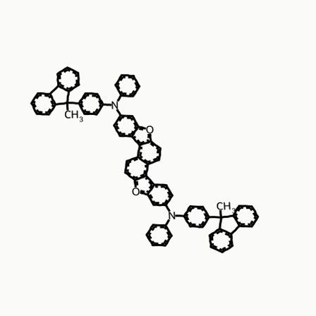 CC1(c2ccc(N(c3ccccc3)c3ccc4c(c3)oc3ccc5c(ccc6oc7cc(N(c8ccccc8)c8ccc(C9(C)c%10ccccc%10-c%10ccccc%109)cc8)ccc7c65)c34)cc2)c2ccccc2-c2ccccc21